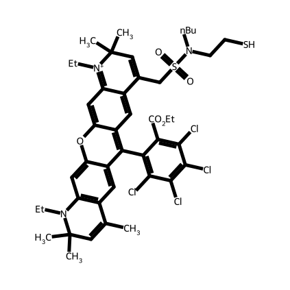 CCCCN(CCS)S(=O)(=O)CC1=CC(C)(C)[N+](CC)=c2cc3c(cc21)=C(c1c(Cl)c(Cl)c(Cl)c(Cl)c1C(=O)OCC)c1cc2c(cc1O3)N(CC)C(C)(C)C=C2C